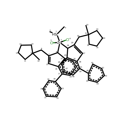 C[SiH](C)[Zr]([Cl])([Cl])([CH]1C(CC2(C)CCCC2)=Cc2c(-c3ccccc3)cccc21)[CH]1C(CC2(C)CCCC2)=Cc2c(-c3ccccc3)cccc21